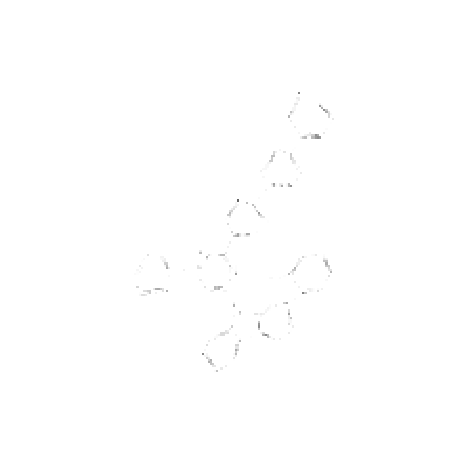 c1ccc(-c2ccc(-c3ccc(-c4nc(-c5ccccc5)nc(-n5c6ccccc6c6ccc7c8ccccc8oc7c65)n4)cc3)cc2)cc1